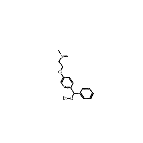 CCOC(c1ccccc1)c1ccc(OCCN(C)C)cc1